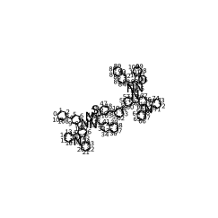 c1ccc(-c2ccc3c(c2)c2c4c5ccccc5n5c6ccccc6c(cc2n3-c2nc(-c3ccc6ccccc6c3)c3c(n2)sc2ccc(-c6cccc(-c7ccc8c(c7)c7c9c%10ccccc%10n%10c%11ccccc%11c(cc7n8-c7nc(-c8ccc%11ccccc%11c8)c8c(n7)oc7ccccc78)c9%10)c6)cc23)c45)cc1